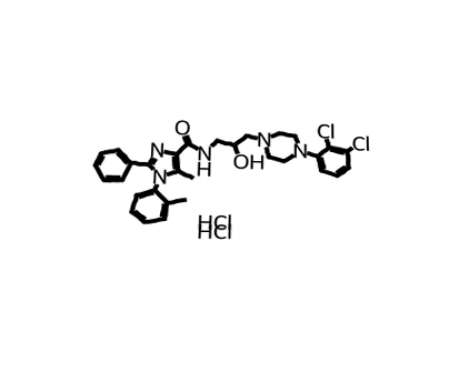 Cc1ccccc1-n1c(-c2ccccc2)nc(C(=O)NCC(O)CN2CCN(c3cccc(Cl)c3Cl)CC2)c1C.Cl.Cl